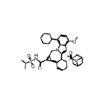 COc1ccc(C2CCCCC2)c2c1cc1n2CC2=C(C(=O)NS(=O)(=O)C(C)C)C2=C2C=CC[C@@H](C(=O)N3C4CC3CN(C)C4)C21